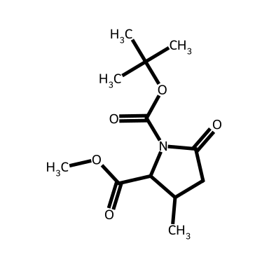 COC(=O)C1C(C)CC(=O)N1C(=O)OC(C)(C)C